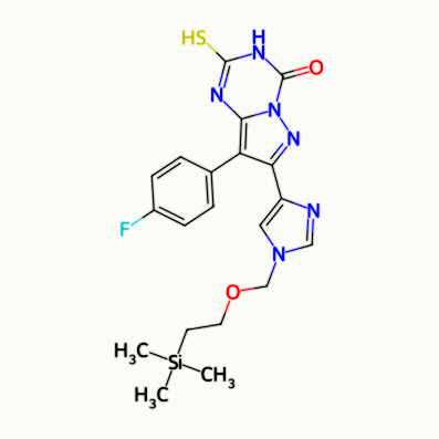 C[Si](C)(C)CCOCn1cnc(-c2nn3c(=O)[nH]c(S)nc3c2-c2ccc(F)cc2)c1